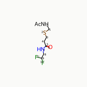 CC(=O)NCSCCC(=O)NCC(F)F